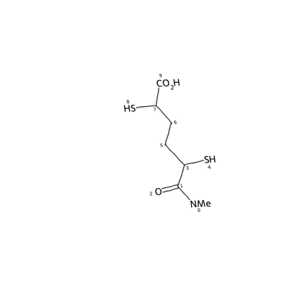 CNC(=O)C(S)CCC(S)C(=O)O